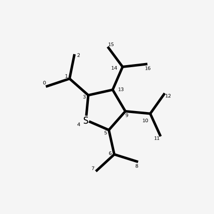 CC(C)C1SC(C(C)C)C(C(C)C)C1C(C)C